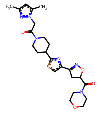 Cc1cc(C(F)(F)F)nn1CC(=O)N1CCC(c2nc(C3=NOC(C(=O)N4CCOCC4)C3)cs2)CC1